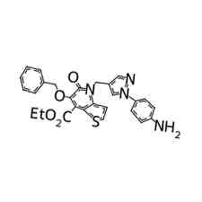 CCOC(=O)c1c(OCc2ccccc2)c(=O)n(Cc2cnn(-c3ccc(N)cc3)c2)c2ccsc12